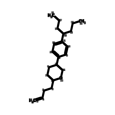 C=CCCC1CCC(c2ccc(C(CCC)CCC)cc2)CO1